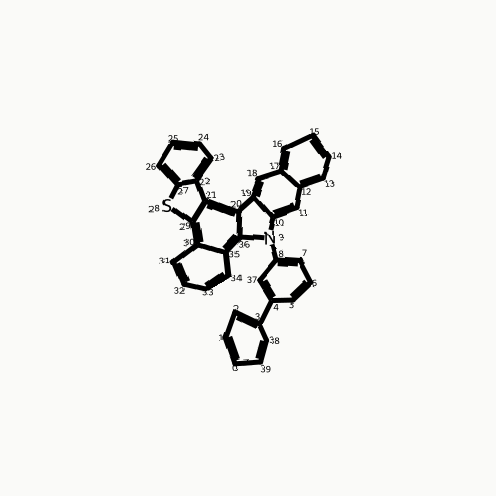 c1ccc(-c2cccc(-n3c4cc5ccccc5cc4c4c5c6ccccc6sc5c5ccccc5c43)c2)cc1